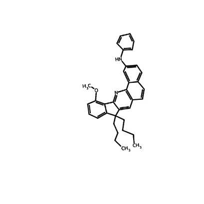 CCCCC1(CCCC)c2cc3ccc4ccc(Nc5ccccc5)cc4c3nc2-c2c(OC)cccc21